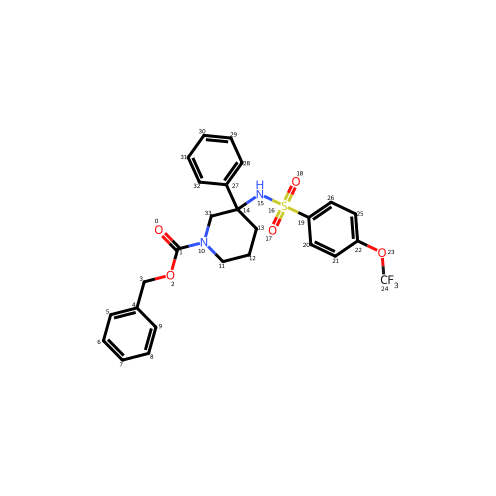 O=C(OCc1ccccc1)N1CCCC(NS(=O)(=O)c2ccc(OC(F)(F)F)cc2)(c2ccccc2)C1